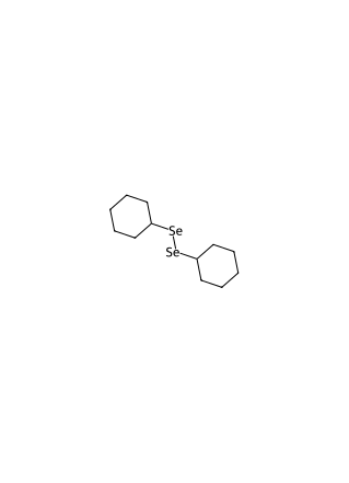 C1CCC([Se][Se]C2CCCCC2)CC1